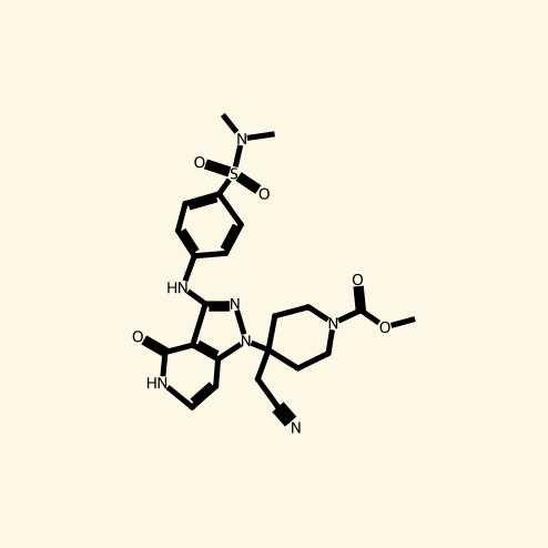 COC(=O)N1CCC(CC#N)(n2nc(Nc3ccc(S(=O)(=O)N(C)C)cc3)c3c(=O)[nH]ccc32)CC1